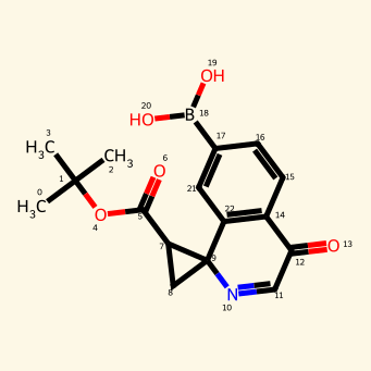 CC(C)(C)OC(=O)C1CC12N=CC(=O)c1ccc(B(O)O)cc12